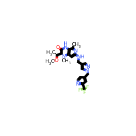 CO[C@H](C)[C@H]1C(=O)Nc2c(cc(NCc3cnn(Cc4ccnc(C(F)(F)F)c4)c3)nc2C)N1C